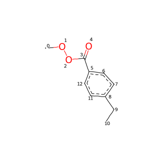 [CH2]OOC(=O)c1ccc(CC)cc1